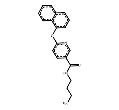 CC(C)(C)CCCNC(=O)c1ccc(Oc2cccc3ccccc23)nc1